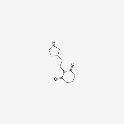 O=C1CCCC(=O)N1CCC1CCNC1